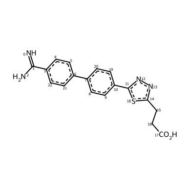 N=C(N)c1ccc(-c2ccc(-c3nnc(CCC(=O)O)s3)cc2)cc1